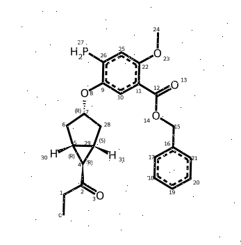 CCC(=O)[C@H]1[C@@H]2C[C@H](Oc3cc(C(=O)OCc4ccccc4)c(OC)cc3P)C[C@@H]21